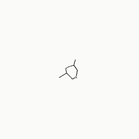 CC1[CH]C(C)C[N]C1